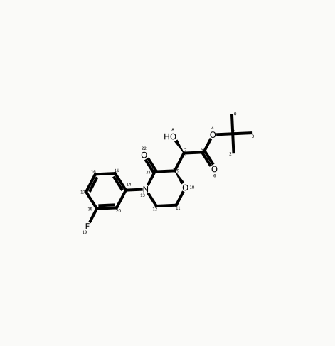 CC(C)(C)OC(=O)[C@H](O)[C@H]1OCCN(c2cccc(F)c2)C1=O